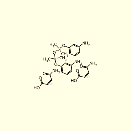 C[Si](C)(Oc1cccc(N)c1)O[Si](C)(C)Oc1cccc(N)c1.NC(=O)/C=C\C(=O)O.NC(=O)/C=C\C(=O)O